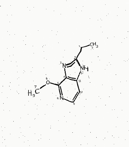 CCc1nc2c(OC)nccc2[nH]1